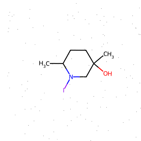 CC1CCC(C)(O)CN1I